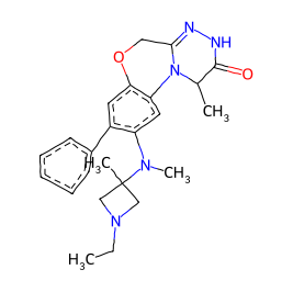 CCN1CC(C)(N(C)c2cc3c(cc2-c2ccccc2)OCC2=NNC(=O)C(C)N23)C1